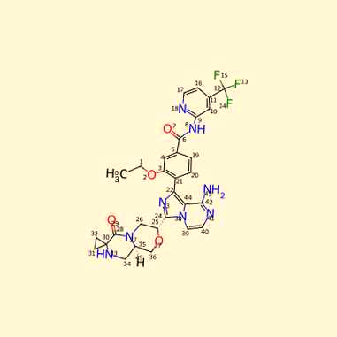 CCOc1cc(C(=O)Nc2cc(C(F)(F)F)ccn2)ccc1-c1nc([C@H]2CN3C(=O)C4(CC4)NC[C@@H]3CO2)n2ccnc(N)c12